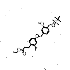 CCOC(=O)CCc1ccc(OCc2ccc(CO[Si](C)(C)C(C)(C)C)c(OC)c2)cc1F